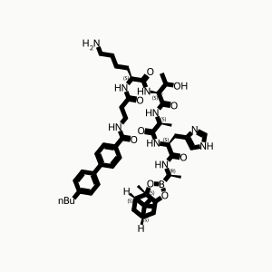 CCCCc1ccc(-c2ccc(C(=O)NCCC(=O)N[C@@H](CCCCN)C(=O)N[C@H](C(=O)N[C@@H](C)C(=O)N[C@@H](Cc3c[nH]cn3)C(=O)N[C@@H](C)B3OC4C[C@@H]5C[C@@H](C5(C)C)[C@]4(C)O3)C(C)O)cc2)cc1